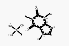 C[Si](O)(O)O.Cn1c(=O)c2c(ncn2C)n(C)c1=O